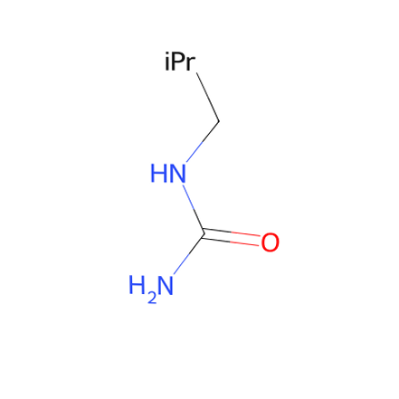 [CH2]C(C)CNC(N)=O